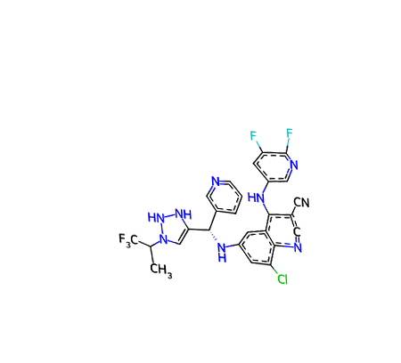 CC(N1C=C([C@@H](Nc2cc(Cl)c3ncc(C#N)c(Nc4cnc(F)c(F)c4)c3c2)c2cccnc2)NN1)C(F)(F)F